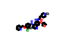 CCN1CCC(=CC(=O)Nc2cc3c(Nc4ccc(OCc5ccccn5)c(Cl)c4)c(C#N)cnc3cc2OC2CCOC2)CC1